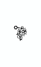 CC(C)(C)OC(=O)N[C@H](C(=O)N1C[C@H]2[C@@H]([C@H]1C(=O)OCc1ccccc1)C2(C)C)C(C)(C)C